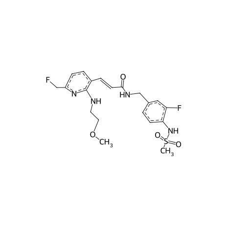 COCCNc1nc(CF)ccc1/C=C/C(=O)NCc1ccc(NS(C)(=O)=O)c(F)c1